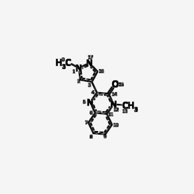 Cn1cc(-c2nc3ccccc3n(C)c2=O)cn1